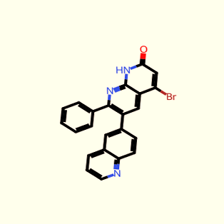 O=c1cc(Br)c2cc(-c3ccc4ncccc4c3)c(-c3ccccc3)nc2[nH]1